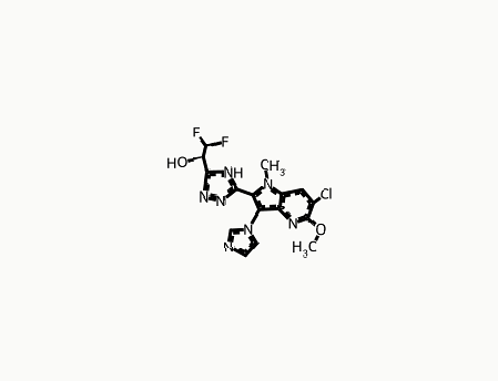 COc1nc2c(-n3ccnc3)c(-c3nnc([C@@H](O)C(F)F)[nH]3)n(C)c2cc1Cl